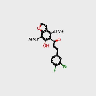 COc1c(C(=O)C=Cc2ccc(F)c(Br)c2)c(O)c(OC)c2occc12